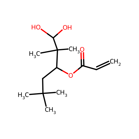 C=CC(=O)OC(CC(C)(C)C)C(C)(C)C(O)O